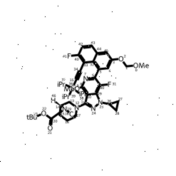 COCOc1cc(-c2nc(OC)c3c(N4C[C@H]5CCC4CN5C(=O)OC(C)(C)C)nn(C4CC4)c3c2F)c2c(C#C[Si](C(C)C)(C(C)C)C(C)C)c(F)ccc2c1